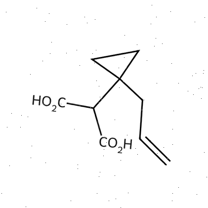 C=CCC1(C(C(=O)O)C(=O)O)CC1